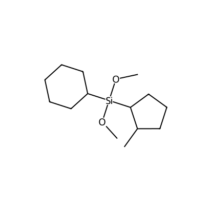 CO[Si](OC)(C1CCCCC1)C1CCCC1C